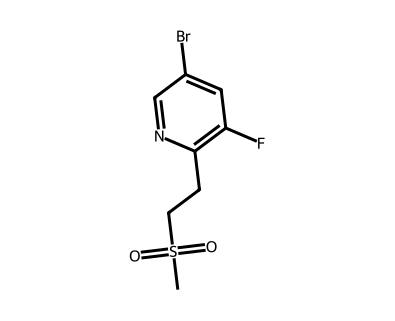 CS(=O)(=O)CCc1ncc(Br)cc1F